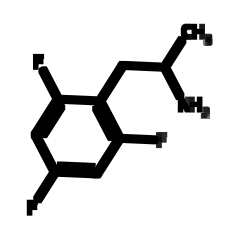 CC(N)Cc1c(F)cc(F)cc1F